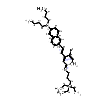 C\C=C(F)/C(=C\C=N\CCC[N+](CC)(CC)CC)/C=C/c1ccc2cc(N(CCCC)CCCC)ccc2c1